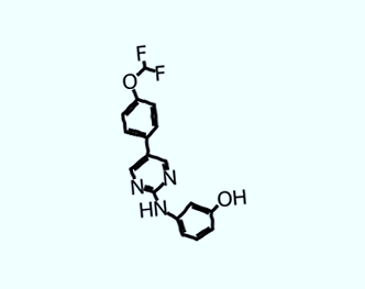 Oc1cccc(Nc2ncc(-c3ccc(OC(F)F)cc3)cn2)c1